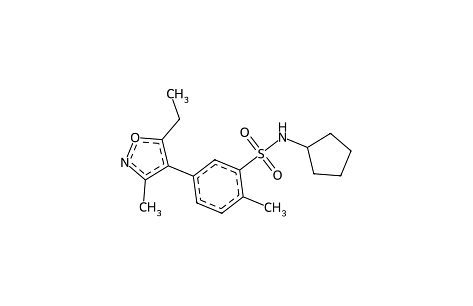 CCc1onc(C)c1-c1ccc(C)c(S(=O)(=O)NC2CCCC2)c1